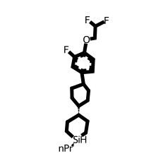 CCC[Si@H]1CC[C@H](C2CCC(c3ccc(OCC(F)F)c(F)c3)CC2)CC1